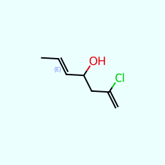 C=C(Cl)CC(O)/C=C/C